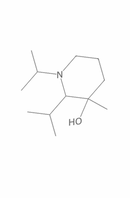 CC(C)C1N(C(C)C)CCCC1(C)O